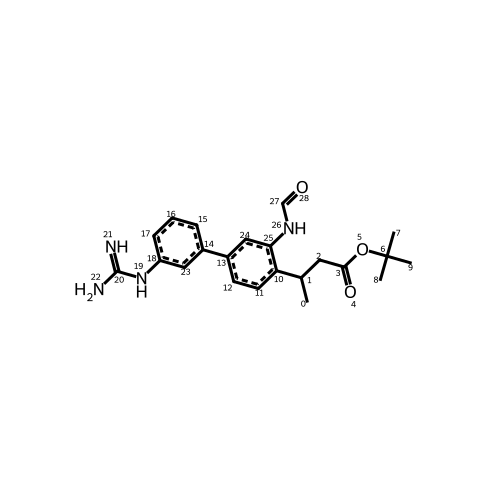 CC(CC(=O)OC(C)(C)C)c1ccc(-c2cccc(NC(=N)N)c2)cc1NC=O